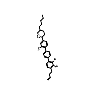 C=CCCc1ccc(-c2ccc(-c3ccc(C4CCC(CCCCC)CO4)cc3F)cc2)c(F)c1F